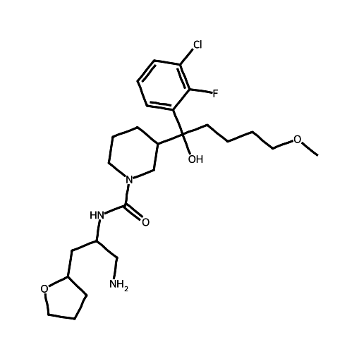 COCCCCC(O)(c1cccc(Cl)c1F)C1CCCN(C(=O)NC(CN)CC2CCCO2)C1